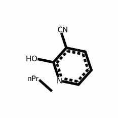 CCCC.N#Cc1cccnc1O